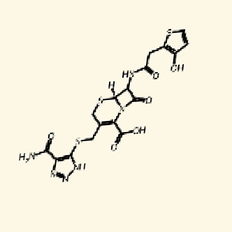 NC(=O)c1nn[nH]c1SCC1=C(C(=O)O)N2C(=O)C(NC(=O)Cc3sccc3O)[C@H]2SC1